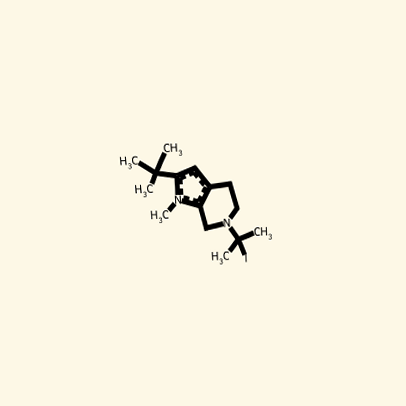 Cn1c(C(C)(C)C)cc2c1CN(C(C)(C)I)CC2